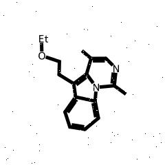 CCOCCc1c2ccccc2n2c(C)ncc(C)c12